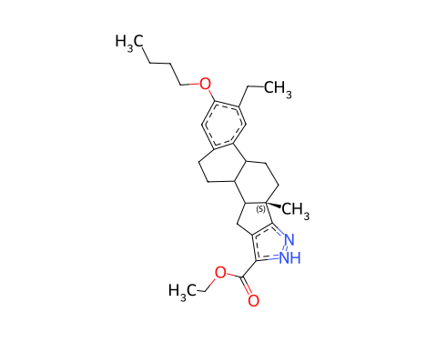 CCCCOc1cc2c(cc1CC)C1CC[C@]3(C)c4n[nH]c(C(=O)OCC)c4CC3C1CC2